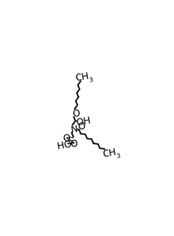 CCCCCCCCCOCC(O)CN(CCS(=O)(=O)O)C(=O)CCCCCCCCC